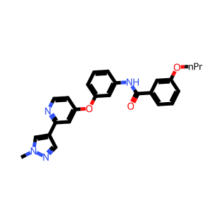 CCCOc1cccc(C(=O)Nc2cccc(Oc3ccnc(-c4cnn(C)c4)c3)c2)c1